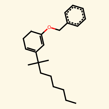 CCCCCCC(C)(C)C1=CC[CH]C(OCc2ccccc2)=C1